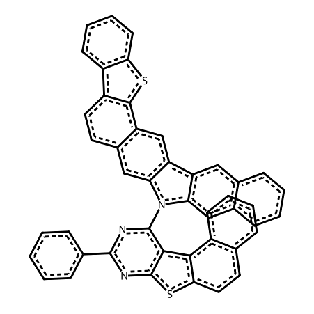 c1ccc(-c2nc(-n3c4cc5ccccc5cc4c4cc5c(ccc6c7ccccc7sc56)cc43)c3c(n2)sc2ccc4ccccc4c23)cc1